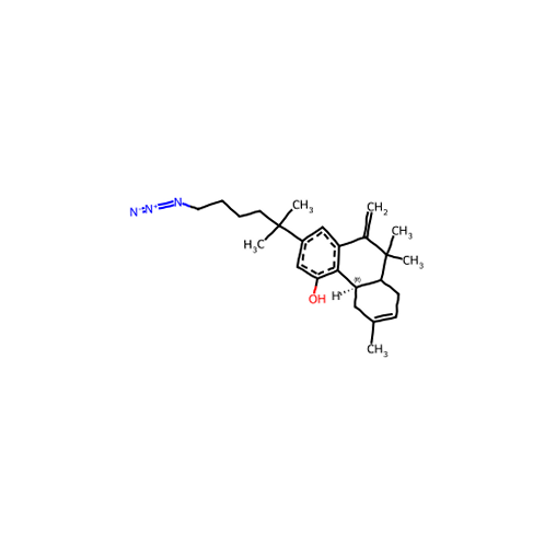 C=C1c2cc(C(C)(C)CCCCN=[N+]=[N-])cc(O)c2[C@@H]2CC(C)=CCC2C1(C)C